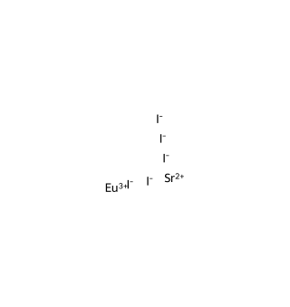 [Eu+3].[I-].[I-].[I-].[I-].[I-].[Sr+2]